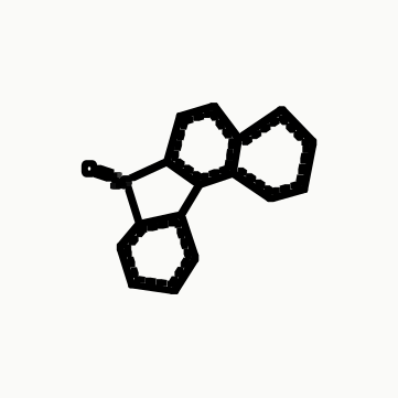 O=[Se]1c2ccccc2-c2c1ccc1ccccc21